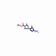 Cc1cc(N)ccc1N1CC(C)N(C(=O)OC(C)(C)C)[C@H](C)C1